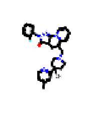 Cc1ccnc(C2(C#N)CCN(CC3=C4C=CC=CN4C4=NN(c5ccccc5F)C(=O)C4C3)CC2)c1